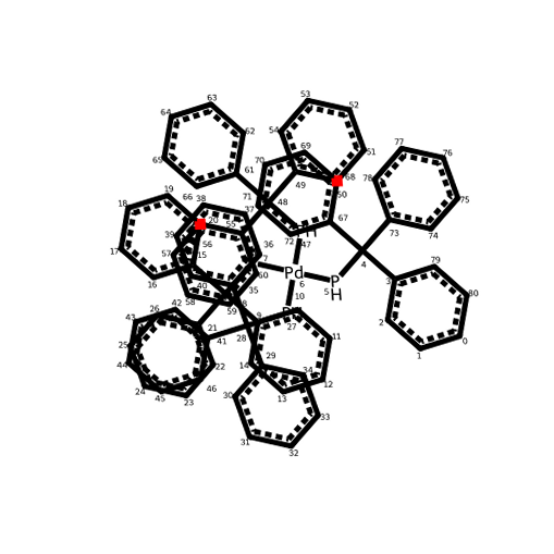 c1ccc(C([PH][Pd]([PH]C(c2ccccc2)(c2ccccc2)c2ccccc2)([PH]C(c2ccccc2)(c2ccccc2)c2ccccc2)[PH]C(c2ccccc2)(c2ccccc2)c2ccccc2)(c2ccccc2)c2ccccc2)cc1